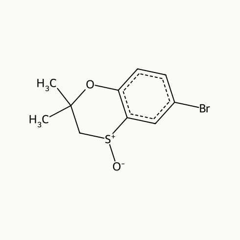 CC1(C)C[S+]([O-])c2cc(Br)ccc2O1